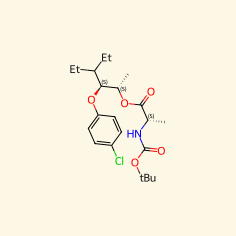 CCC(CC)[C@H](Oc1ccc(Cl)cc1)[C@H](C)OC(=O)[C@H](C)NC(=O)OC(C)(C)C